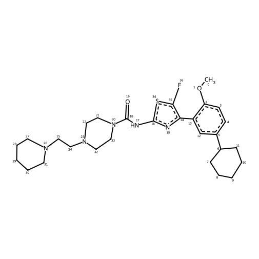 COc1ccc(C2CCCCC2)cc1-c1nc(NC(=O)N2CCN(CCN3CCCCC3)CC2)sc1F